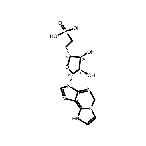 O=P(O)(O)CC[C@H]1O[C@@H](n2cnc3c2=NCN2C=CNC=32)[C@H](O)[C@@H]1O